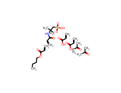 C=CC(=O)NC(C)(C)CS(=O)(=O)O.C=CC(=O)O.C=CC(=O)O.C=CC(=O)OCCCC.CC(C)=O.CC(C)=O